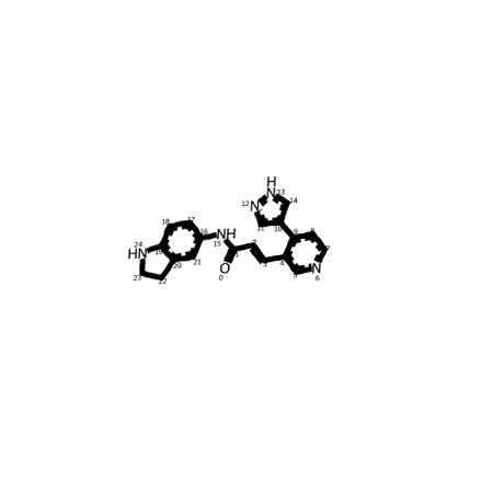 O=C(/C=C/c1cnccc1-c1cn[nH]c1)Nc1ccc2c(c1)CCN2